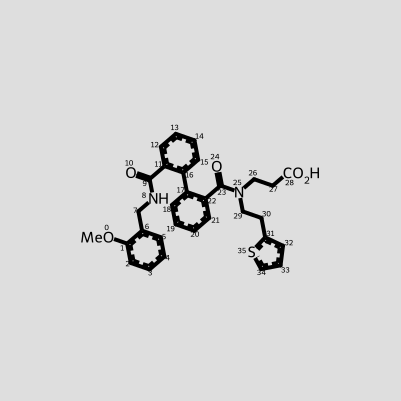 COc1ccccc1CNC(=O)c1ccccc1-c1ccccc1C(=O)N(CCC(=O)O)CCc1cccs1